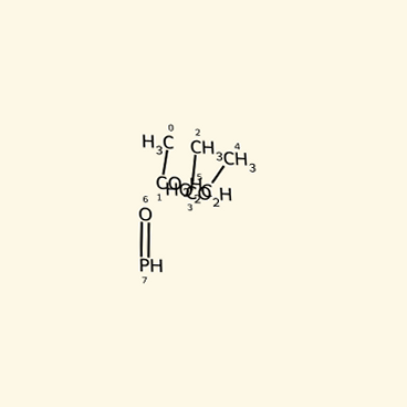 CC(=O)O.CC(=O)O.CC(=O)O.O=P